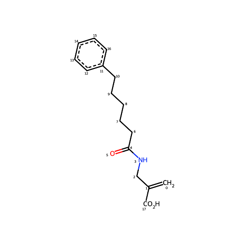 C=C(CNC(=O)CCCCCc1ccccc1)C(=O)O